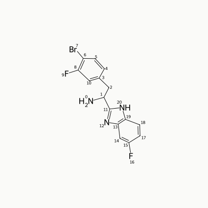 NC(Cc1ccc(Br)c(F)c1)c1nc2cc(F)ccc2[nH]1